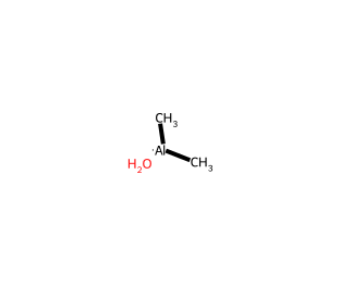 O.[CH3][Al][CH3]